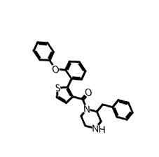 O=C(c1ccsc1-c1ccccc1Oc1ccccc1)N1CCNCC1Cc1ccccc1